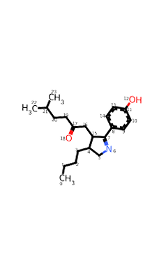 CCCCC1CN=C(c2ccc(O)cc2)C1CC(=O)CCC(C)C